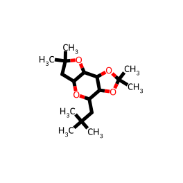 CC(C)(C)CC1OC2CC(C)(C)OC2C2OC(C)(C)OC12